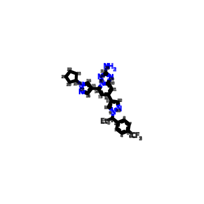 CCC(c1ccc(C(F)(F)F)cc1)n1cc(-c2cc(-c3cnn(C4CCCC4)c3)n3nc(N)nc3c2)cn1